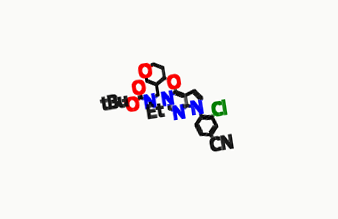 CCN(CC1COCC[C@@H]1Oc1ncnc2c1ccn2-c1ccc(C#N)cc1Cl)C(=O)OC(C)(C)C